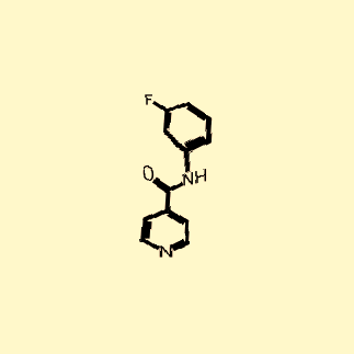 O=C(Nc1cccc(F)c1)c1ccncc1